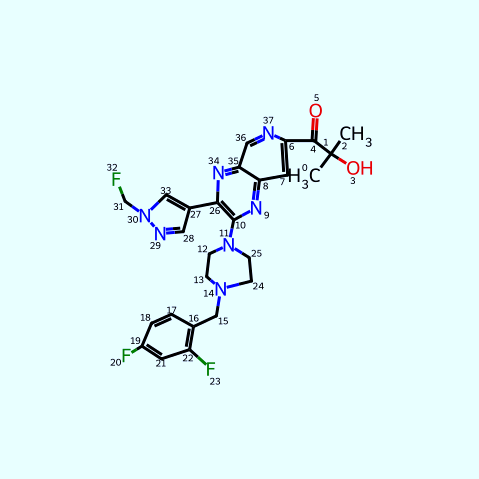 CC(C)(O)C(=O)c1cc2nc(N3CCN(Cc4ccc(F)cc4F)CC3)c(-c3cnn(CF)c3)nc2cn1